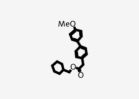 COc1ccc(-c2ccc(CC(=O)OCC3CCCCC3)cc2)cc1